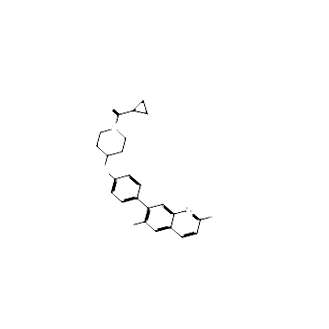 Cc1ccc2cc(F)c(-c3ccc(OC4CCN(C(=O)C5CC5)CC4)cc3)cc2n1